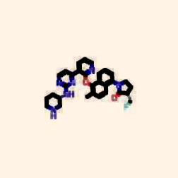 Cc1ccc2c(N3CC[C@H](CF)C3=O)cccc2c1Oc1ncccc1-c1ccnc(N[C@H]2CCCNC2)n1